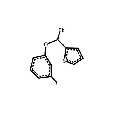 [CH2]CC(Oc1cccc(I)c1)c1cccs1